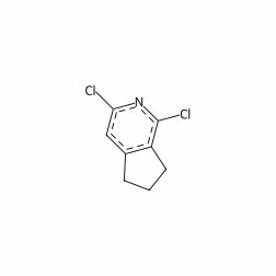 Clc1cc2c(c(Cl)n1)CCC2